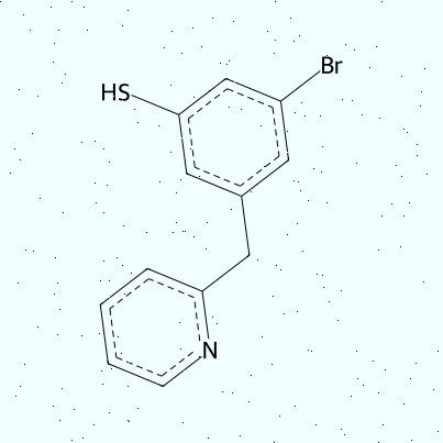 Sc1cc(Br)cc(Cc2ccccn2)c1